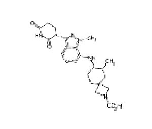 C[C@H]1CC2(CC[C@H]1Nc1cccc3c(C4CCC(=O)NC4=O)nn(C)c13)CN(C(=O)O)C2